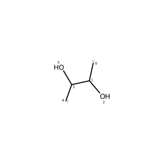 [CH]C(O)C([CH])O